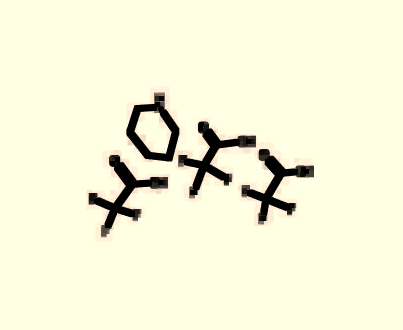 C1CCNCC1.O=C(O)C(F)(F)F.O=C(O)C(F)(F)F.O=C(O)C(F)(F)F